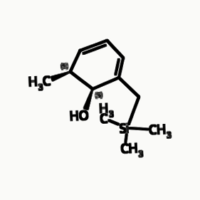 C[C@H]1C=CC=C(C[Si](C)(C)C)[C@H]1O